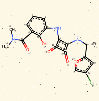 CC[C@@H](Nc1c(Nc2cccc(C(=O)N(C)C)c2O)c(=O)c1=O)c1cc(Cl)co1